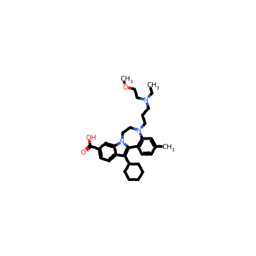 CCN(CCCN1CCn2c(c(C3CCCCC3)c3ccc(C(=O)O)cc32)-c2ccc(C)cc21)CCOC